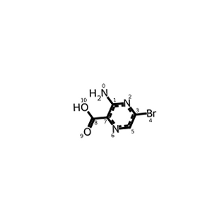 Nc1nc(Br)cnc1C(=O)O